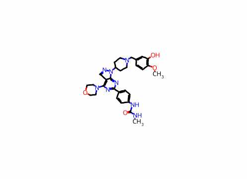 CNC(=O)Nc1ccc(-c2nc(N3CCOCC3)c3cnn(C4CCN(Cc5ccc(OC)c(O)c5)CC4)c3n2)cc1